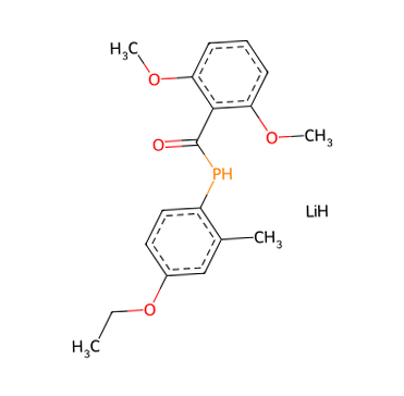 CCOc1ccc(PC(=O)c2c(OC)cccc2OC)c(C)c1.[LiH]